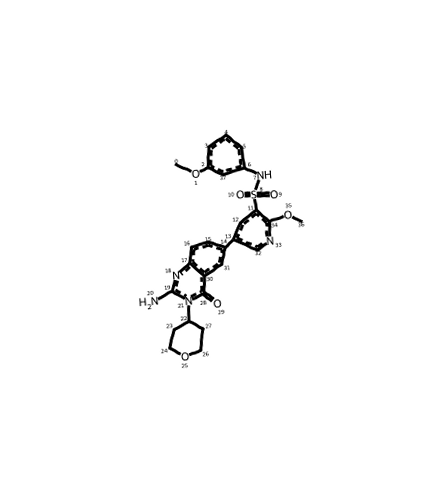 COc1cccc(NS(=O)(=O)c2cc(-c3ccc4nc(N)n(C5CCOCC5)c(=O)c4c3)cnc2OC)c1